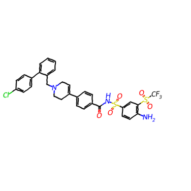 Nc1ccc(S(=O)(=O)NC(=O)c2ccc(C3=CCN(Cc4ccccc4-c4ccc(Cl)cc4)CC3)cc2)cc1S(=O)(=O)C(F)(F)F